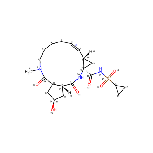 CN1CCCC/C=C\[C@@H]2C[C@@]2(C(=O)NS(=O)(=O)C2CC2)NC(=O)[C@@H]2C[C@@H](O)CC2C1=O